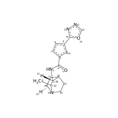 C[C@H]1[C@H](NC(=O)c2ccc(-c3nnco3)s2)C2CCN1CC2